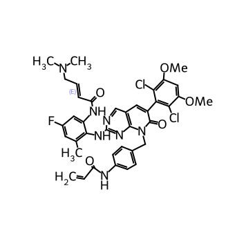 C=CC(=O)Nc1ccc(Cn2c(=O)c(-c3c(Cl)c(OC)cc(OC)c3Cl)cc3cnc(Nc4c(C)cc(F)cc4NC(=O)/C=C/CN(C)C)nc32)cc1